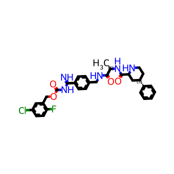 C[C@H](NC(=O)C1C[C@@H](c2ccccc2)CCN1)C(=O)NCc1ccc(C(=N)NC(=O)OCc2cc(Cl)ccc2F)cc1